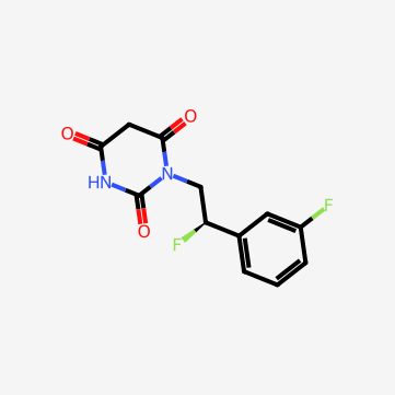 O=C1CC(=O)N(C[C@H](F)c2cccc(F)c2)C(=O)N1